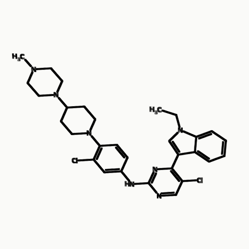 CCn1cc(-c2nc(Nc3ccc(N4CCC(N5CCN(C)CC5)CC4)c(Cl)c3)ncc2Cl)c2ccccc21